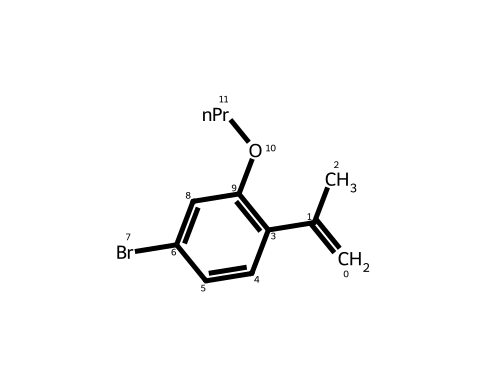 C=C(C)c1ccc(Br)cc1OCCC